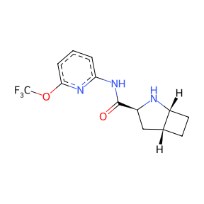 O=C(Nc1cccc(OC(F)(F)F)n1)[C@@H]1C[C@H]2CC[C@H]2N1